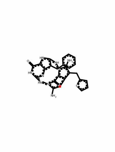 Nc1nc2c(Cc3cccs3)c(N)n3[nH]c4[nH]c5c(=O)[nH]c(nc5c4Cc4ccccc4)[nH]n1c(=O)c23